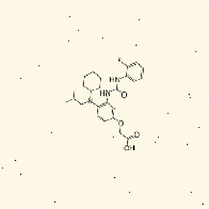 CC(C)CN(c1ccc(OCC(=O)O)cc1NC(=O)Nc1ccccc1F)C1CCCCC1